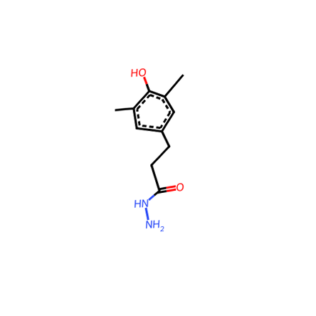 Cc1cc(CCC(=O)NN)cc(C)c1O